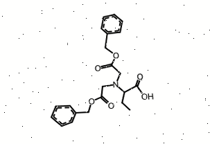 CCC(C(=O)O)N(CC(=O)OCc1ccccc1)CC(=O)OCc1ccccc1